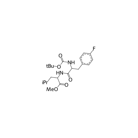 COC(=O)C(CC(C)C)NC(=O)C(Cc1ccc(F)cc1)NC(=O)OC(C)(C)C